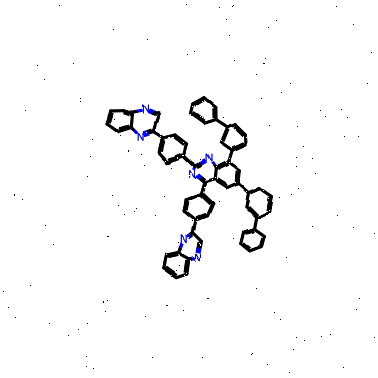 C1=CC(c2ccccc2)=CC(c2cc(-c3cccc(-c4ccccc4)c3)c3nc(-c4ccc(-c5cnc6ccccc6n5)cc4)nc(-c4ccc(-c5cnc6ccccc6n5)cc4)c3c2)C1